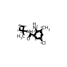 Cc1cc(Cl)cc(C(=O)NC2(C)CSC2)c1N